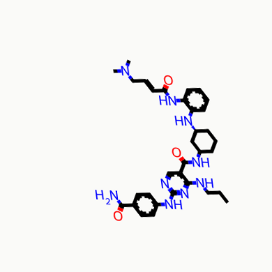 CCCNc1nc(Nc2ccc(C(N)=O)cc2)ncc1C(=O)NC1CCC[C@H](Nc2ccccc2NC(=O)/C=C/CN(C)C)C1